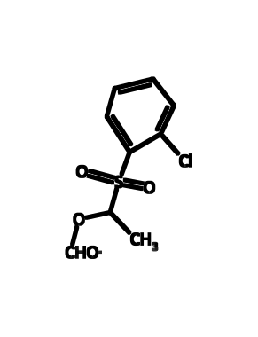 CC(O[C]=O)S(=O)(=O)c1ccccc1Cl